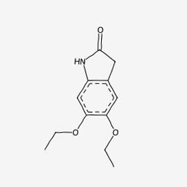 CCOc1cc2c(cc1OCC)NC(=O)C2